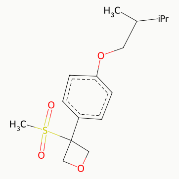 CC(C)C(C)COc1ccc(C2(S(C)(=O)=O)COC2)cc1